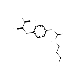 C=C(Cc1ccc(OC(C)OCCCC)cc1)C(=O)O